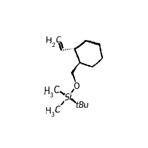 C=C[C@@H]1CCCC[C@H]1CO[Si](C)(C)C(C)(C)C